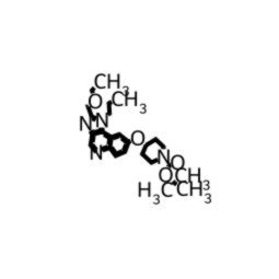 CCCn1c(COCC)nc2cnc3ccc(OC4CCN(C(=O)OC(C)(C)C)CC4)cc3c21